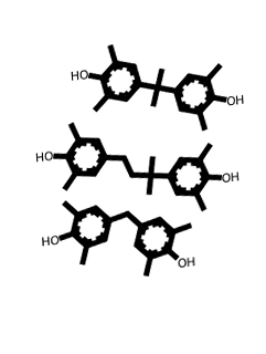 Cc1cc(C(C)(C)c2cc(C)c(O)c(C)c2)cc(C)c1O.Cc1cc(CCC(C)(C)c2cc(C)c(O)c(C)c2)cc(C)c1O.Cc1cc(Cc2cc(C)c(O)c(C)c2)cc(C)c1O